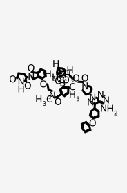 Cc1ccc(C(=O)N(C)CCCOc2cccc3c2CN(C2CCC(=O)NC2=O)C3=O)cc1B1O[C@H]2C[C@H]3C[C@H](C3(C)C)[C@@]2(CCOCC(=O)N2CCC(n3nc(-c4ccc(Oc5ccccc5)cc4)c4c(N)ncnc43)CC2)O1